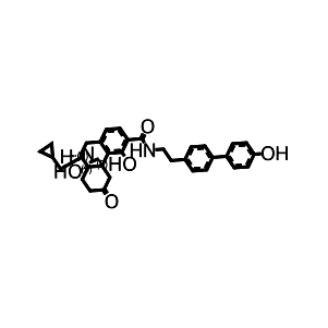 O=C1CC[C@@]2(O)[C@H]3Cc4ccc(C(=O)NCCc5ccc(-c6ccc(O)cc6)cc5)c(O)c4[C@@]2(CCN3CC2CC2)C1